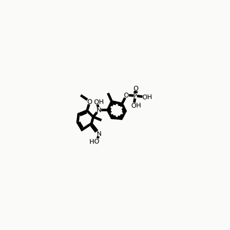 COC1=CC=C/C(=N\O)C1(C)N(O)c1cccc(OP(=O)(O)O)c1C